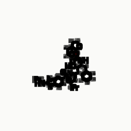 CC(C)CCN(C[C@@H](O)[C@H](Cc1ccccc1)NC(=O)OC1C2COC3OCC1C3C2)NS(=O)(=O)c1ccc2sc(NC(C)C)nc2c1